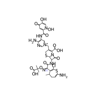 CC1CC=C(N)SC(Cl)=C1/C(=N/OC(C)(C)C(=O)O)C(=O)NC1C(=O)N2C(C(=O)O)=C(C[n+]3cnc(N)c(NC(=O)c4cc(=O)c(O)cn4O)c3)CSC12